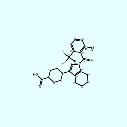 O=C(O)C1CCC(c2cn(C(=O)c3c(Cl)cccc3C(F)(F)F)c3c2CCCC3)CC1